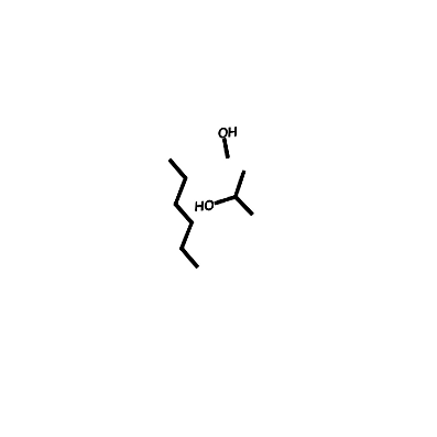 CC(C)O.CCCCCC.CO